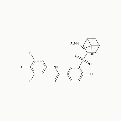 CC(=O)NCC1(O)C2CC1CC(S(=O)(=O)c1cc(C(=O)Nc3cc(F)c(F)c(F)c3)ccc1Cl)C2